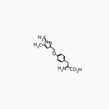 Cc1cc(COc2ccc(C[C@H](N)C(=O)O)cc2)nn1C